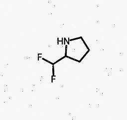 FC(F)C1CCCN1